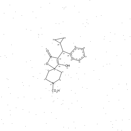 O=C1OC2(CCN(C(=O)O)CC2)C(O)=C1C(c1ccccc1)C1CC1